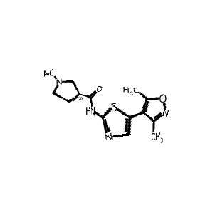 Cc1noc(C)c1-c1cnc(NC(=O)[C@H]2CCN(C#N)C2)s1